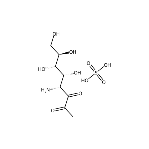 CC(=O)C(=O)[C@H](N)[C@@H](O)[C@H](O)[C@H](O)CO.O=S(=O)(O)O